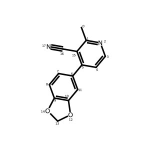 Cc1nccc(-c2ccc3c(c2)OCO3)c1C#N